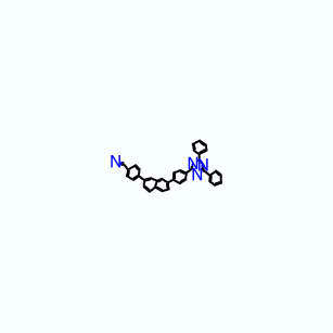 N#Cc1ccc(-c2ccc3ccc(-c4ccc(-c5nc(-c6ccccc6)nc(-c6ccccc6)n5)cc4)cc3c2)cc1